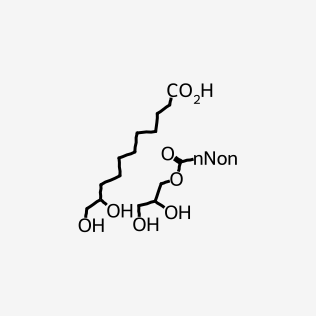 CCCCCCCCCC(=O)OCC(O)CO.O=C(O)CCCCCCCCC(O)CO